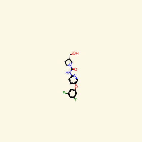 O=C(Nc1ccc(Oc2cc(F)cc(F)c2)cn1)N1CC[C@H](CO)C1